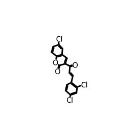 O=C(/C=C/c1ccc(Cl)cc1Cl)c1cc2cc(Cl)ccc2oc1=O